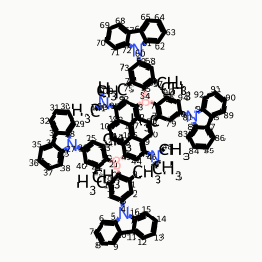 Cc1cc(-n2c3ccccc3c3ccccc32)cc(C)c1B(c1c(C)cc(-n2c3ccccc3c3ccccc32)cc1C)c1cc(N(C)C)c2ccc3c(B(c4c(C)cc(-n5c6ccccc6c6ccccc65)cc4C)c4c(C)cc(-n5c6ccccc6c6ccccc65)cc4C)cc(N(C)C)c4ccc1c2c34